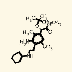 COC(=O)[C@@H](OC(C)(C)C)c1cc(C)c(CCNC2CCCCC2)c(N)c1C